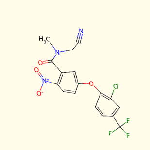 CN(CC#N)C(=O)c1cc(Oc2ccc(C(F)(F)F)cc2Cl)ccc1[N+](=O)[O-]